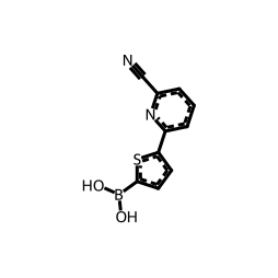 N#Cc1cccc(-c2ccc(B(O)O)s2)n1